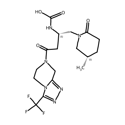 C[C@H]1CCC(=O)N(C[C@H](CC(=O)N2CCn3c(nnc3C(F)(F)F)C2)NC(=O)O)C1